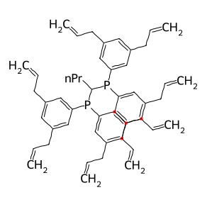 C=CCc1cc(CC=C)cc(P(c2cc(CC=C)cc(CC=C)c2)C(CCC)P(c2cc(CC=C)cc(CC=C)c2)c2cc(CC=C)cc(CC=C)c2)c1